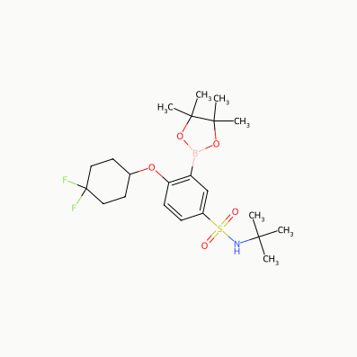 CC(C)(C)NS(=O)(=O)c1ccc(OC2CCC(F)(F)CC2)c(B2OC(C)(C)C(C)(C)O2)c1